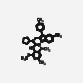 CSc1cc(C)nc(SC)c1NC(=O)N(Cc1oc2ccc(C)cc2c1-c1ccc(C)cc1)C1CCCC1